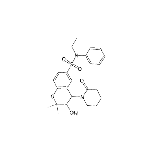 CCN(c1ccccc1)S(=O)(=O)c1ccc2c(c1)C(N1CCCCC1=O)C(O)C(C)(C)O2